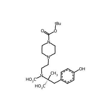 CC(C)(C)OC(=O)N1CCN(CCN(C(=O)O)[C@@](C)(Cc2ccc(O)cc2)C(=O)O)CC1